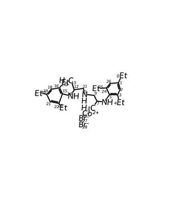 CCc1cc(CC)c(NC(C)CNCC(C)Nc2c(CC)cc(CC)cc2CC)c(CC)c1.[Br-].[Br-].[Co+2]